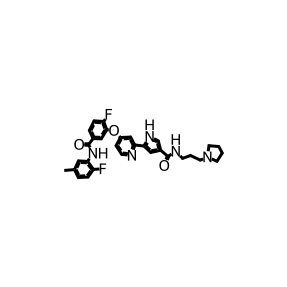 Cc1ccc(F)c(NC(=O)c2ccc(F)c(Oc3ccnc(-c4cc(C(=O)NCCCN5CCCC5)c[nH]4)c3)c2)c1